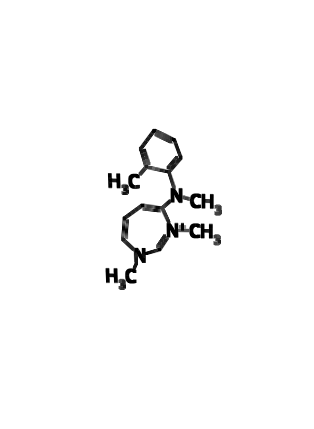 Cc1ccccc1N(C)C1=CC=CN(C)C=[N+]1C